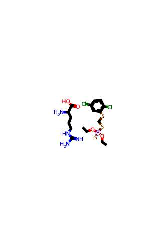 CCOP(=S)(OCC)SCSc1cc(Cl)ccc1Cl.N=C(N)NCCCC(N)C(=O)O